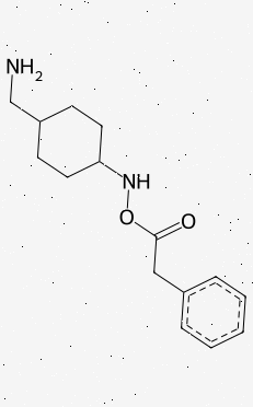 NCC1CCC(NOC(=O)Cc2ccccc2)CC1